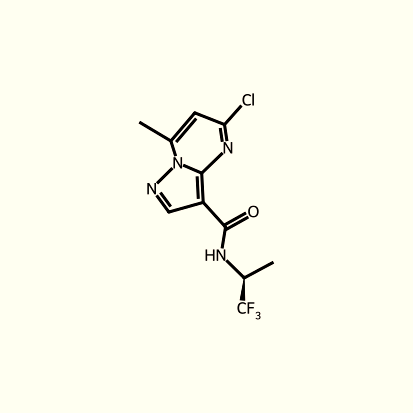 Cc1cc(Cl)nc2c(C(=O)N[C@@H](C)C(F)(F)F)cnn12